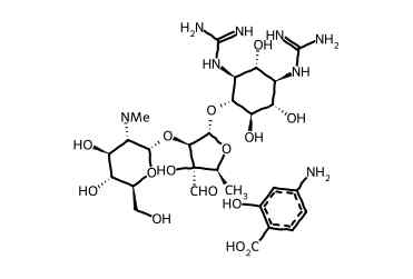 CN[C@@H]1[C@H](O[C@H]2[C@H](O[C@H]3[C@H](O)[C@@H](O)[C@H](NC(=N)N)[C@@H](O)[C@@H]3NC(=N)N)O[C@@H](C)[C@]2(O)C=O)O[C@@H](CO)[C@H](O)[C@H]1O.Nc1ccc(C(=O)O)c(O)c1